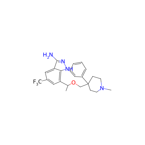 CC(OCC1(c2ccccc2)CCN(C)CC1)c1cc(C(F)(F)F)cc2c(N)n[nH]c12